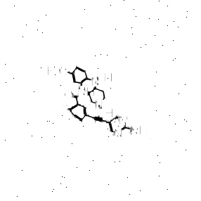 CN1CCC(N(C)c2ccc(C(F)(F)F)cc2NC(=O)c2cc(C#Cc3cnc(N)nc3)ccc2F)CC1